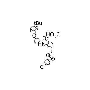 CC(C)(C)c1cnc(COc2cccc(C(=O)Nc3cc(CCCS(=O)(=O)c4ccc(Cl)cc4)ccc3OCC(=O)O)c2)s1